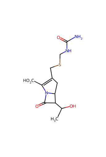 CC(O)C1C(=O)N2C(C(=O)O)=C(CSCNC(N)=O)CC12